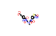 CCN(CCn1c(=O)c2ccc(C=CC(=O)OC)cc2n(C)c1=O)C1CN(c2ccc3c(c2)NC(=O)CS3)C(=O)O1